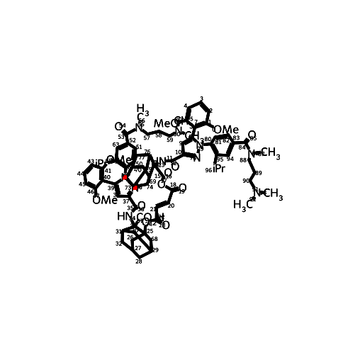 COc1cccc(OC)c1-c1cc(C(=O)NC2(C(=O)OC(=O)C=CC(=O)OC34CC5CC(CC(C5)C3(NC(=O)c3cc(-c5c(OC)cccc5OC)n(-c5ccc(C(=O)N(C)CCCN(C)C)cc5C(C)C)n3)C(=O)O)C4)C3CC4CC(C3)CC2C4)nn1-c1ccc(C(=O)N(C)CCCN(C)C)cc1C(C)C